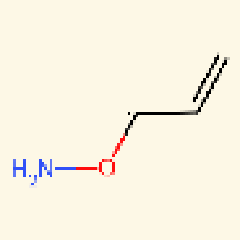 C=C[CH]ON